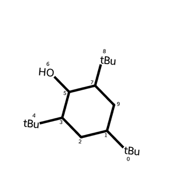 CC(C)(C)C1CC(C(C)(C)C)C(O)C(C(C)(C)C)C1